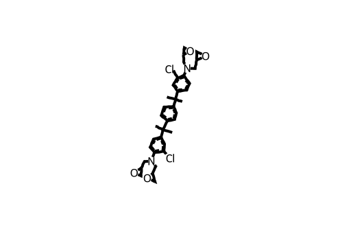 CC(C)(c1ccc(C(C)(C)c2ccc(N(CC3CO3)CC3CO3)c(Cl)c2)cc1)c1ccc(N(CC2CO2)CC2CO2)c(Cl)c1